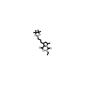 CCOC(=O)N1C(C)CC(CCCB2OC(C)(C)C(C)(C)O2)C1C(=O)O